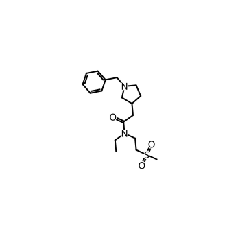 CCN(CCS(C)(=O)=O)C(=O)CC1CCN(Cc2ccccc2)C1